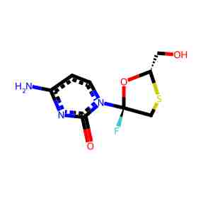 Nc1ccn([C@@]2(F)CS[C@@H](CO)O2)c(=O)n1